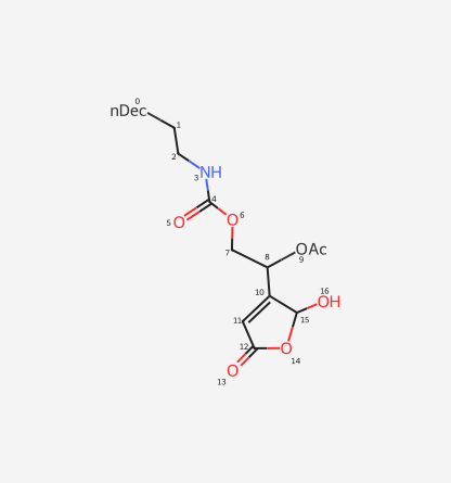 CCCCCCCCCCCCNC(=O)OCC(OC(C)=O)C1=CC(=O)OC1O